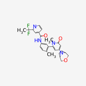 Cc1ccc(NC(=O)c2ccnc(C(C)(F)F)c2)cc1-c1cc(N2C3CCC2COC3)cc(=O)n1C